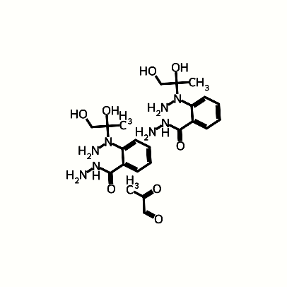 CC(=O)C=O.CC(O)(CO)N(N)c1ccccc1C(=O)NN.CC(O)(CO)N(N)c1ccccc1C(=O)NN